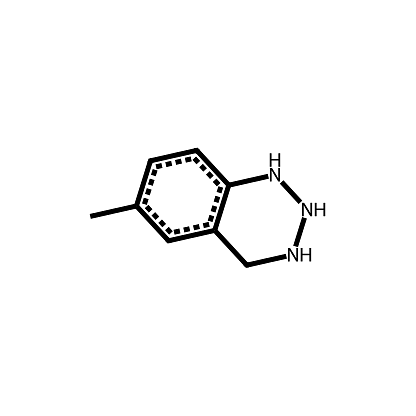 Cc1ccc2c(c1)CNNN2